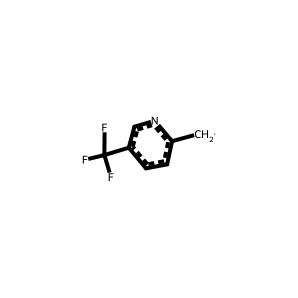 [CH2]c1ccc(C(F)(F)F)cn1